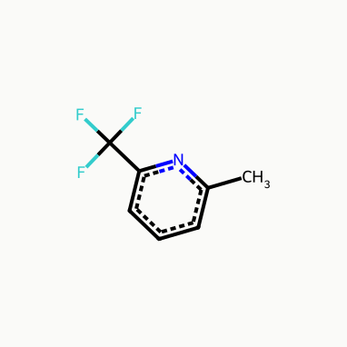 Cc1cccc(C(F)(F)F)n1